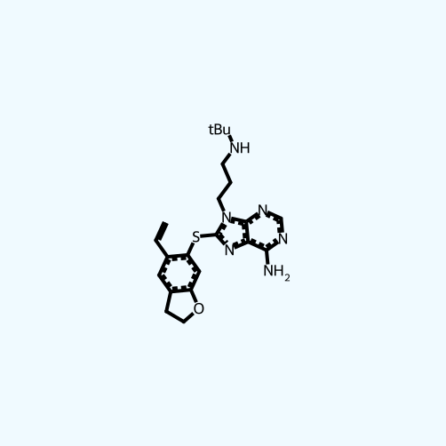 C=Cc1cc2c(cc1Sc1nc3c(N)ncnc3n1CCCNC(C)(C)C)OCC2